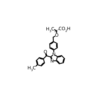 Cc1ccc(C(=O)c2nc3ccccc3n2-c2ccc(CO[C@H](C)C(=O)O)cc2)cc1